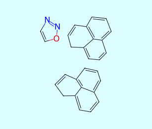 C1=Cc2cccc3cccc(c23)C1.C1=Cc2cccc3cccc(c23)C1.c1conn1